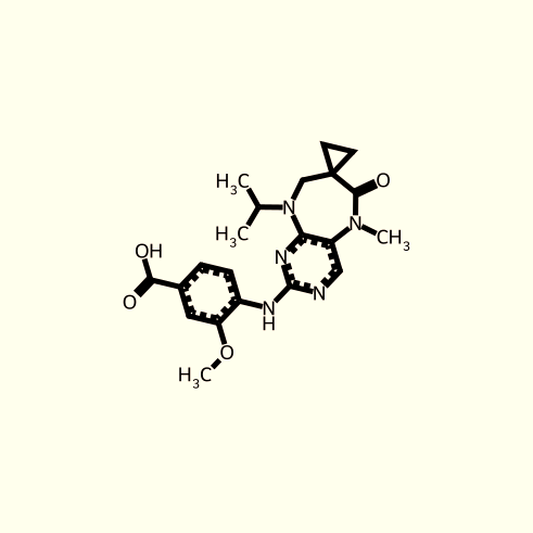 COc1cc(C(=O)O)ccc1Nc1ncc2c(n1)N(C(C)C)CC1(CC1)C(=O)N2C